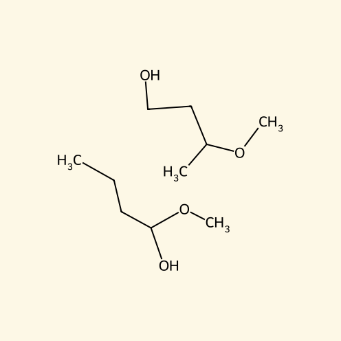 CCCC(O)OC.COC(C)CCO